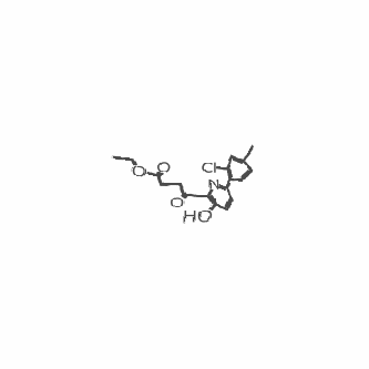 CCOC(=O)CCC(=O)c1nc(-c2ccc(C)cc2Cl)ccc1O